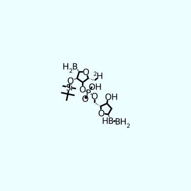 [2H]C[C@H]1O[C@@H](B)[C@@H](O[Si](C)(C)C(C)(C)C)C1OP(=O)(O)OC[C@H]1O[C@@H](BB)CC1O